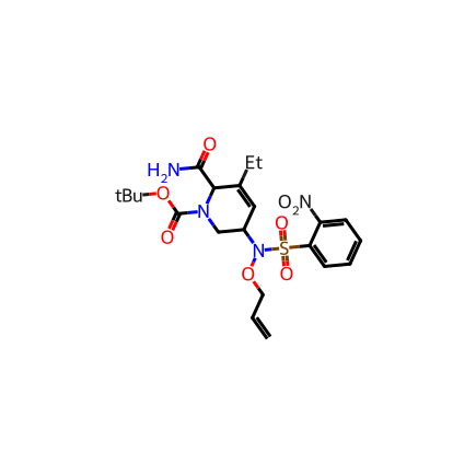 C=CCON(C1C=C(CC)C(C(N)=O)N(C(=O)OC(C)(C)C)C1)S(=O)(=O)c1ccccc1[N+](=O)[O-]